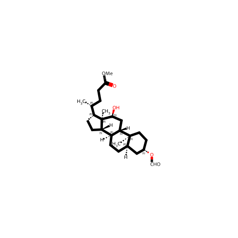 COC(=O)CC[C@@H](C)[C@H]1CC[C@H]2[C@@H]3CC[C@@H]4C[C@@H](OC=O)CC[C@]4(C)[C@H]3C[C@H](O)[C@]12C